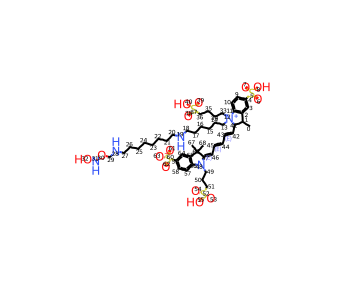 CC1c2cc(S(=O)(=O)O)ccc2[N+](CCCCCCNCCCCCCCCNCONO)(CCCCS(=O)(=O)O)C1/C=C/C=C/C=C1/N(CCCS(=O)(=O)O)c2ccc(S(=O)(=O)[O-])cc2C1(C)C